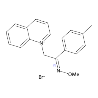 CO/N=C(/C[n+]1cccc2ccccc21)c1ccc(C)cc1.[Br-]